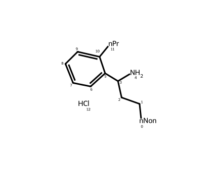 CCCCCCCCCCCC(N)c1ccccc1CCC.Cl